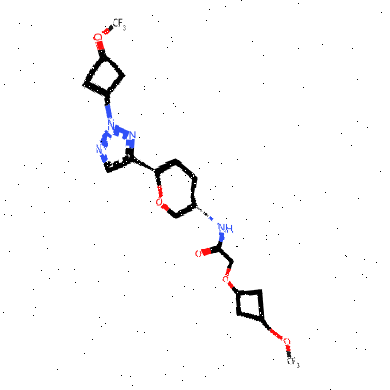 O=C(COC1CC(OC(F)(F)F)C1)N[C@H]1CC[C@H](c2cnn(C3CC(OC(F)(F)F)C3)n2)OC1